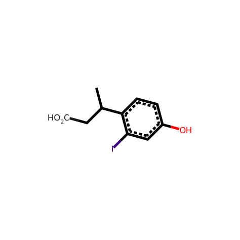 CC(CC(=O)O)c1ccc(O)cc1I